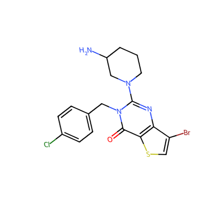 NC1CCCN(c2nc3c(Br)csc3c(=O)n2Cc2ccc(Cl)cc2)C1